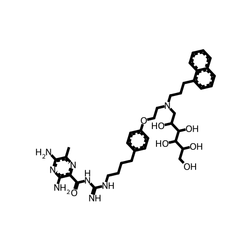 Cc1nc(C(=O)NC(=N)NCCCCc2ccc(OCCN(CCCc3cccc4ccccc34)CC(O)C(O)C(O)C(O)CO)cc2)c(N)nc1N